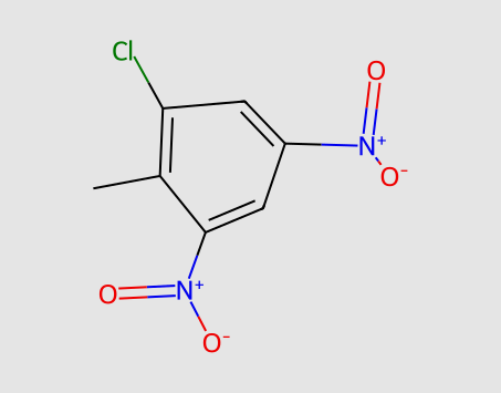 Cc1c(Cl)cc([N+](=O)[O-])cc1[N+](=O)[O-]